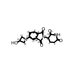 O=C1CCC(N2C(=O)c3ccc(N4CC(O)C4)cc3C2=O)C(=O)N1